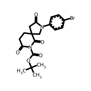 CC(C)(C)OC(=O)N1C(=O)CCC2(CC(=O)N(c3ccc(Br)cc3)C2)C1=O